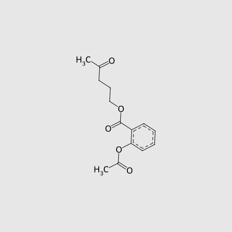 CC(=O)CCCOC(=O)c1ccccc1OC(C)=O